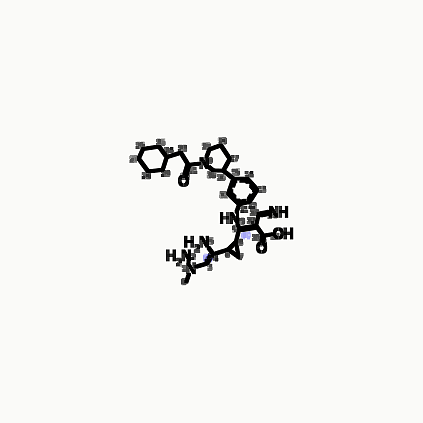 CN(N)/C=C(\N)C1CC1/C(Nc1cccc(C2CCCN(C(=O)CC3CCCCC3)C2)c1)=C(/C=N)C(=O)O